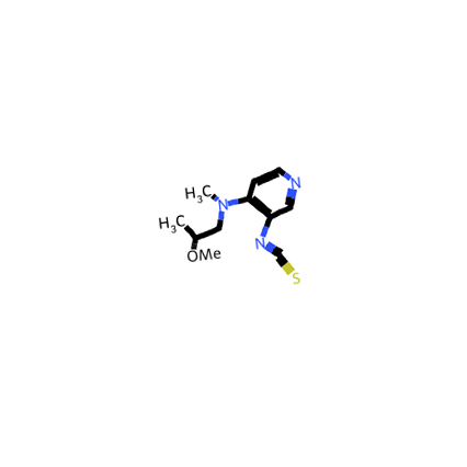 COC(C)CN(C)c1ccncc1N=C=S